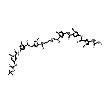 BC(=O)Nc1cc(C(=O)Nc2cc(C(=O)Nc3cc(C(=O)NCCCNC(=O)c4cc(NC(=O)c5cc(NC(=O)c6cc(NC(=O)OC(C)(C)C)cn6C)cn5C)cn4C)n(C)c3)n(C)c2)n(C)c1